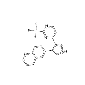 FC(F)(F)c1nccc(-c2n[nH]cc2-c2ccc3ncccc3c2)n1